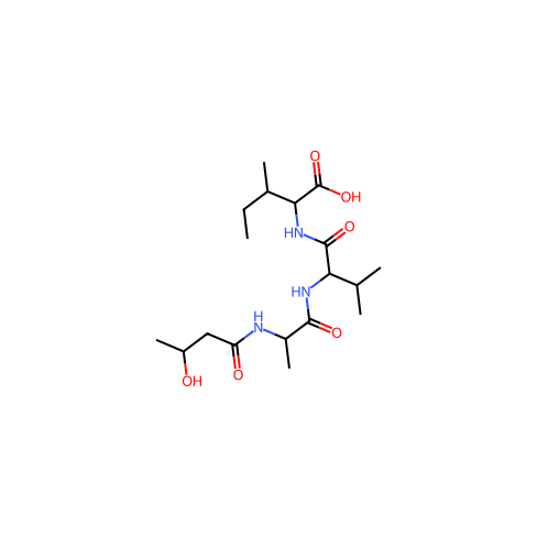 CCC(C)C(NC(=O)C(NC(=O)C(C)NC(=O)CC(C)O)C(C)C)C(=O)O